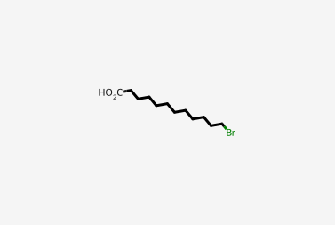 O=C(O)CCCCCCCCCCCBr